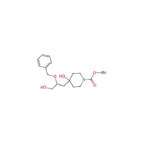 CC(C)(C)OC(=O)N1CCC(O)(CC(CO)OCc2ccccc2)CC1